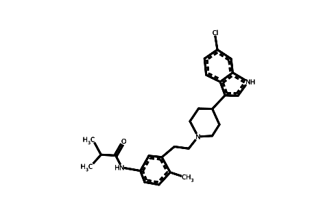 Cc1ccc(NC(=O)C(C)C)cc1CCN1CCC(c2c[nH]c3cc(Cl)ccc23)CC1